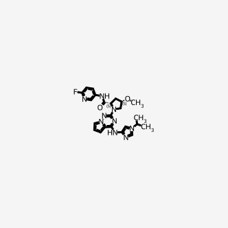 CO[C@H]1C[C@@H](C(=O)Nc2ccc(F)nc2)N(c2nc(Nc3cn(C(C)C)cn3)c3cccn3n2)C1